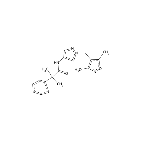 Cc1noc(C)c1Cn1cc(NC(=O)C(C)(C)c2ccccc2)cn1